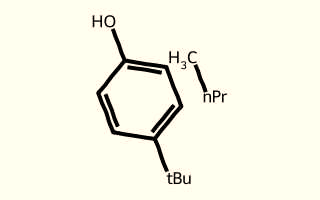 CC(C)(C)c1ccc(O)cc1.CCCC